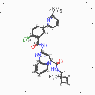 CNc1cccc(-c2ccc(Cl)c(C(=O)N/C(=C/C(=N)C(=O)NCC3(C)CCC3)Nc3ccccc3)c2)n1